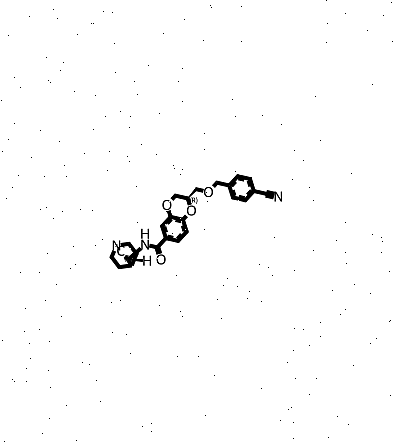 N#Cc1ccc(COC[C@@H]2COc3cc(C(=O)N[C@H]4CN5CCC4CC5)ccc3O2)cc1